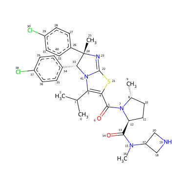 CC(C)C1=C(C(=O)N2[C@H](C)CC[C@H]2C(=O)N(C)C2CNC2)SC2=N[C@@](C)(c3ccc(Cl)cc3)[C@@H](c3ccc(Cl)cc3)N21